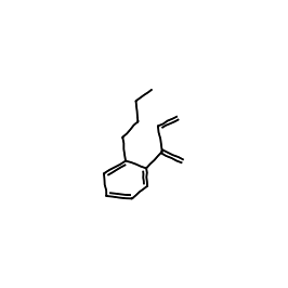 C=CC(=C)c1ccccc1CCCC